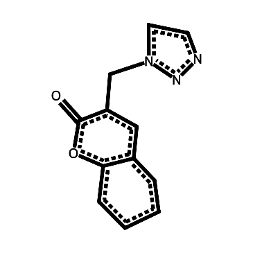 O=c1oc2ccccc2cc1Cn1ccnn1